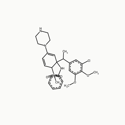 COc1cc(C(C)C2(Nc3ccccc3)C=C(N3CCNCC3)C=CC2S(C)(=O)=O)cc(Cl)c1OC